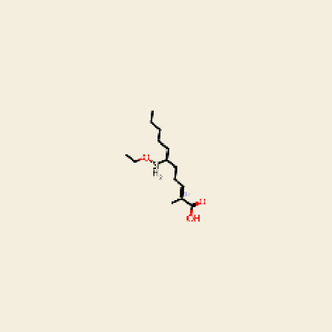 CCCCCC(CC/C=C(\C)C(=O)O)[SiH2]OCC